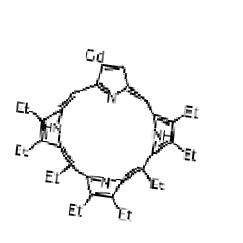 CCC1=C(CC)c2nc1c(CC)c1[nH]c(cc3nc(cc4[nH]c(c2CC)c(CC)c4CC)C=C3)c(CC)c1CC.[Gd]